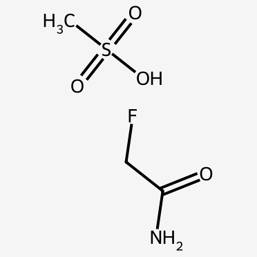 CS(=O)(=O)O.NC(=O)CF